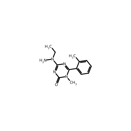 CCN(N)c1nc(-c2ccccc2C)n(C)c(=O)n1